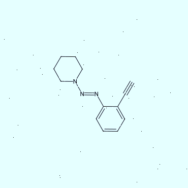 C#Cc1ccccc1N=NN1CCCCC1